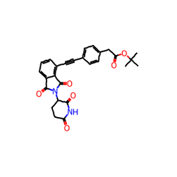 CC(C)(C)OC(=O)Cc1ccc(C#Cc2cccc3c2C(=O)N(C2CCC(=O)NC2=O)C3=O)cc1